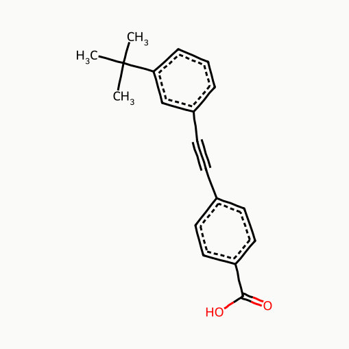 CC(C)(C)c1cccc(C#Cc2ccc(C(=O)O)cc2)c1